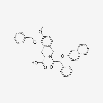 COc1ccc2c(c1OCc1ccccc1)C[C@@H](C(=O)O)N(C(=O)[C@H](Oc1ccc3ccccc3c1)c1ccccc1)C2